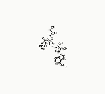 Nc1ncnc2c1ncn2[C@@H]1O[C@H](COP(=O)(OCC(O)CO)OP(=O)(O)OP(=O)(O)O)[C@@H](O)[C@H]1O